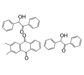 Cc1cc2c(cc1C)C(=O)c1ccccc1C2=O.O=C(c1ccccc1)C(O)c1ccccc1.O=C(c1ccccc1)C(O)c1ccccc1